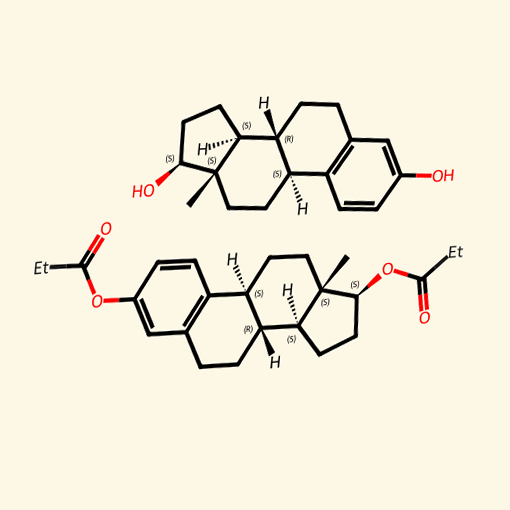 CCC(=O)Oc1ccc2c(c1)CC[C@@H]1[C@@H]2CC[C@]2(C)[C@@H](OC(=O)CC)CC[C@@H]12.C[C@]12CC[C@@H]3c4ccc(O)cc4CC[C@H]3[C@@H]1CC[C@@H]2O